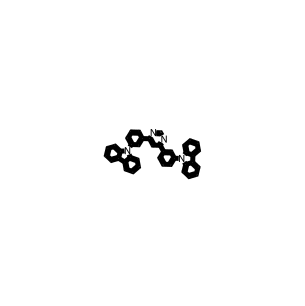 c1cc(-c2cc(-c3cccc(-n4c5ccccc5c5ccccc54)c3)ncn2)cc(-n2c3ccccc3c3ccccc32)c1